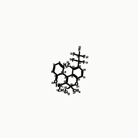 CNC1=C(n2ccccc2=O)c2c(ccc(C(F)(F)C(F)(F)F)c2C)OC1(C)C